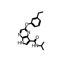 CCc1cccc(Oc2cnc3[nH]cc(C(=O)NC(C)C)c3n2)c1